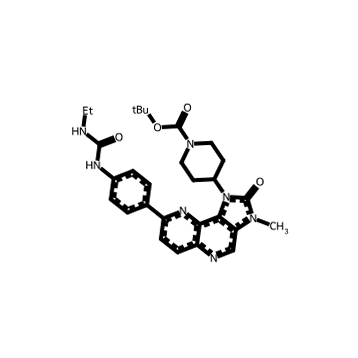 CCNC(=O)Nc1ccc(-c2ccc3ncc4c(c3n2)n(C2CCN(C(=O)OC(C)(C)C)CC2)c(=O)n4C)cc1